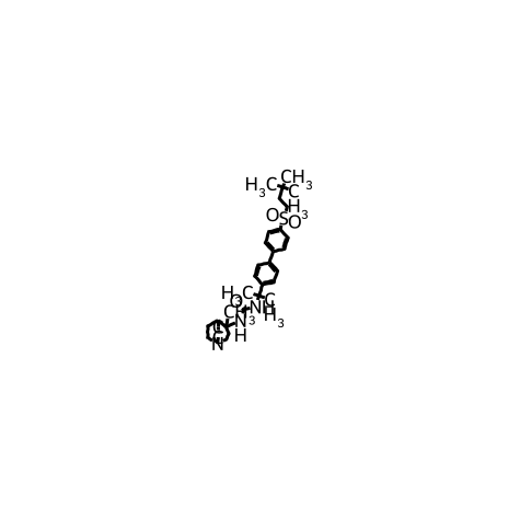 CC(C)(C)CCS(=O)(=O)c1ccc(-c2ccc(C(C)(C)NC(=O)NC3(C)CCN4CCC3CC4)cc2)cc1